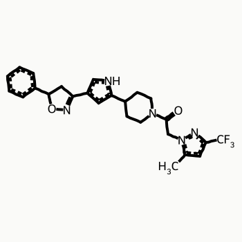 Cc1cc(C(F)(F)F)nn1CC(=O)N1CCC(c2cc(C3=NOC(c4ccccc4)C3)c[nH]2)CC1